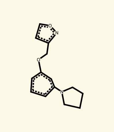 c1cc(OCc2ccon2)cc(N2CCCC2)c1